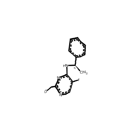 C[C@@H](Nc1nc(Cl)ncc1F)c1ccccc1